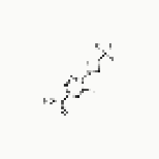 Cc1cc(C(=O)O)cnc1N1CC(C(F)(F)F)C1